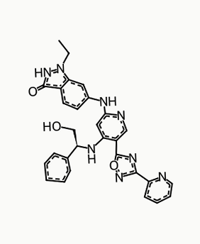 CCn1[nH]c(=O)c2ccc(Nc3cc(N[C@H](CO)c4ccccc4)c(-c4nc(-c5ccccn5)no4)cn3)cc21